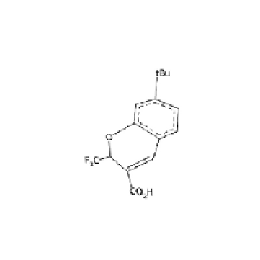 CC(C)(C)c1ccc2c(c1)OC(C(F)(F)F)C(C(=O)O)=C2